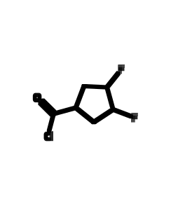 O=C(Cl)C1CC(F)C(F)C1